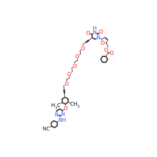 Cc1cc(C#CCOCCOCCOCCOCCOCC#Cc2cn(C3C=CC(COC(=O)c4ccccc4)O3)c(=O)[nH]c2=O)cc(C)c1Oc1ccnc(Nc2ccc(C#N)cc2)n1